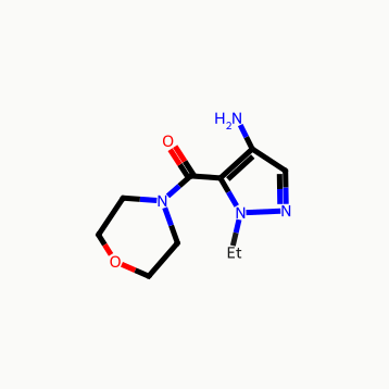 CCn1ncc(N)c1C(=O)N1CCOCC1